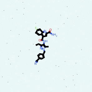 CCc1nn(Cc2ccc(C#N)cc2)c(C)c1NC(=O)c1cc(C(N)=O)nc2cc(F)ccc12